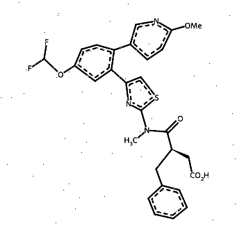 COc1ccc(-c2ccc(OC(F)F)cc2-c2csc(N(C)C(=O)[C@@H](CC(=O)O)Cc3ccccc3)n2)cn1